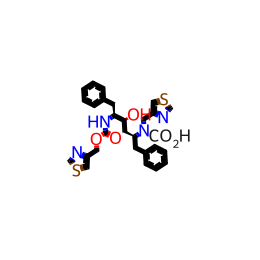 O=C(N[C@@H](Cc1ccccc1)[C@@H](O)C[C@H](Cc1ccccc1)N(Cc1cscn1)C(=O)O)OCc1cscn1